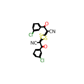 N#CC(C(=O)c1cccc(Cl)c1)=c1sc(=C(C#N)C(=O)c2cccc(Cl)c2)s1